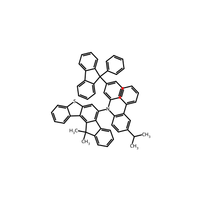 CC(C)c1ccc(N(c2cccc(C3(c4ccccc4)c4ccccc4-c4ccccc43)c2)c2cc3sc4ccccc4c3c3c2-c2ccccc2C3(C)C)c(-c2ccccc2)c1